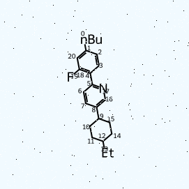 CCCCc1ccc(-c2ccc(C3CCC(CC)CC3)cn2)c(F)c1